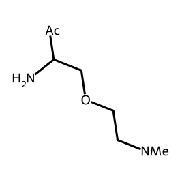 CNCCOCC(N)C(C)=O